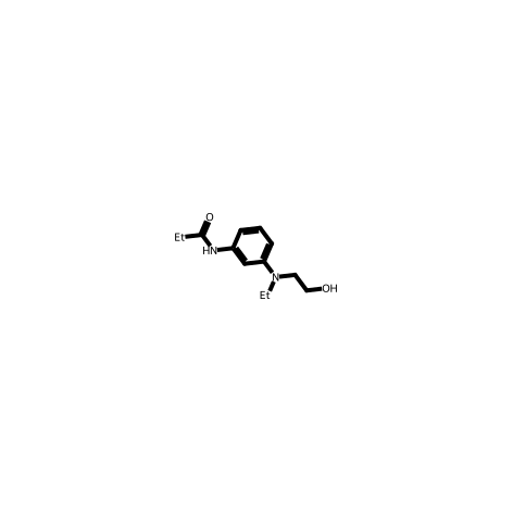 CCC(=O)Nc1cccc(N(CC)CCO)c1